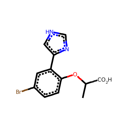 CC(Oc1ccc(Br)cc1-c1c[nH]cn1)C(=O)O